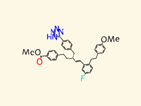 COC(=O)c1ccc(CCC(C=Cc2cc(F)ccc2CCc2ccc(OC)cc2)Cc2ccc(-c3nnn[nH]3)cc2)cc1